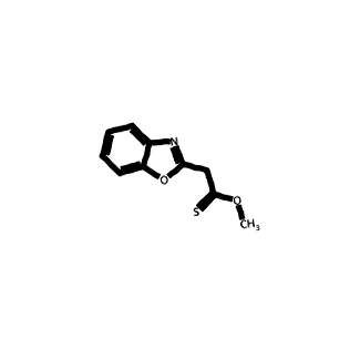 COC(=S)Cc1nc2ccccc2o1